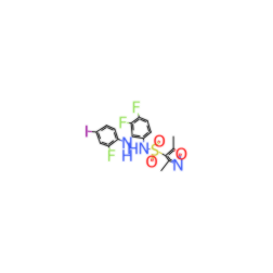 Cc1noc(C)c1S(=O)(=O)Nc1ccc(F)c(F)c1Nc1ccc(I)cc1F